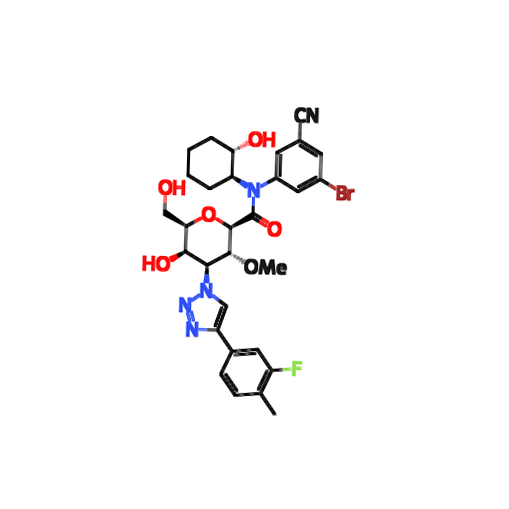 CO[C@@H]1[C@@H](n2cc(-c3ccc(C)c(F)c3)nn2)[C@@H](O)[C@@H](CO)O[C@H]1C(=O)N(c1cc(Br)cc(C#N)c1)[C@H]1CCCC[C@@H]1O